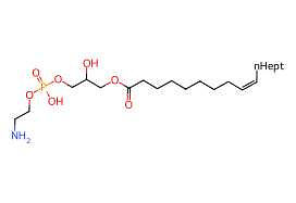 CCCCCCC/C=C\CCCCCCCC(=O)OCC(O)COP(=O)(O)OCCN